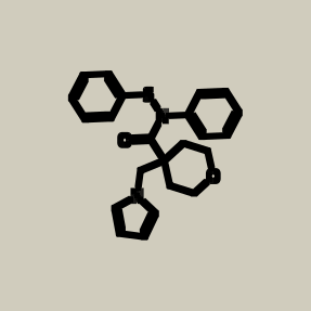 O=C(N(Sc1ccccc1)c1ccccc1)C1(Cn2cccc2)CCOCC1